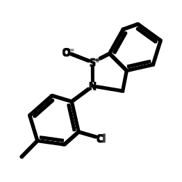 Cc1ccc(N2Cc3ccccc3[S+]2[O-])c(Cl)c1